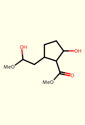 COC(=O)C1C(O)CCC1CC(O)OC